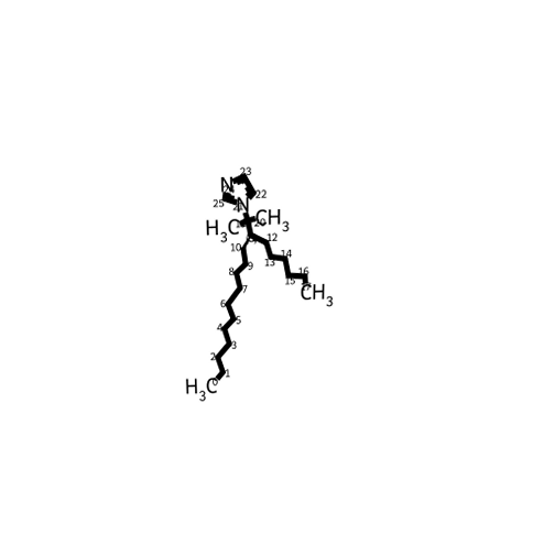 CCCCCCCCCCC[C@H](CCCCCC)C(C)(C)n1ccnc1